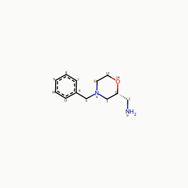 NC[C@@H]1CN(Cc2ccccc2)CCO1